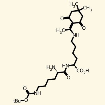 CC(NCCCC[C@H](NC(=O)[C@@H](N)CCCCNC(=O)OC(C)(C)C)C(=O)O)=C1C(=O)CC(C)(C)CC1=O